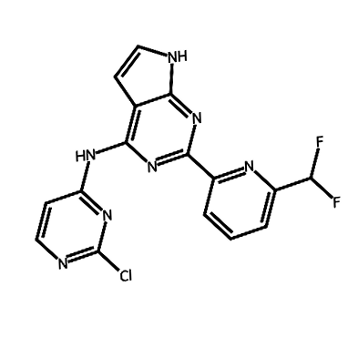 FC(F)c1cccc(-c2nc(Nc3ccnc(Cl)n3)c3cc[nH]c3n2)n1